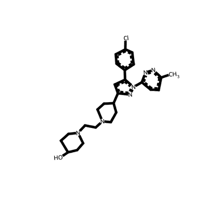 Cc1ccc(-n2nc(C3CCN(CCN4CCC(O)CC4)CC3)cc2-c2ccc(Cl)cc2)nn1